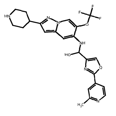 Cc1cc(-c2nc(C(O)Nc3cc4cc(C5CCNCC5)nn4cc3OC(F)(F)F)co2)ccn1